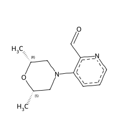 C[C@@H]1CN(c2cccnc2C=O)C[C@H](C)O1